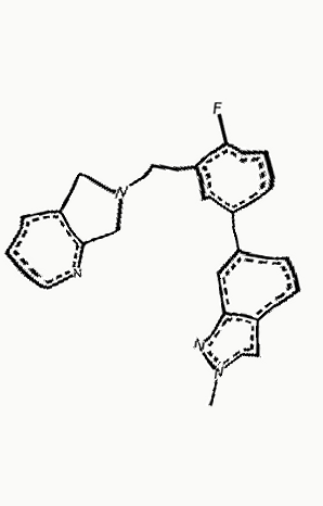 Cn1cc2ccc(-c3ccc(F)c(CN4Cc5cccnc5C4)c3)cc2n1